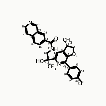 C[C@@H]1COc2c1cc([C@@](O)(CNC(=O)c1ccc3ccncc3c1)C(F)(F)F)nc2-c1ccc(F)cc1